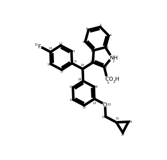 O=C(O)c1[nH]c2ccccc2c1C(c1ccc(F)cc1)c1cccc(OCC2CC2)c1